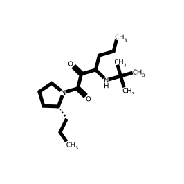 CCCC(NC(C)(C)C)C(=O)C(=O)N1CCC[C@H]1CCC